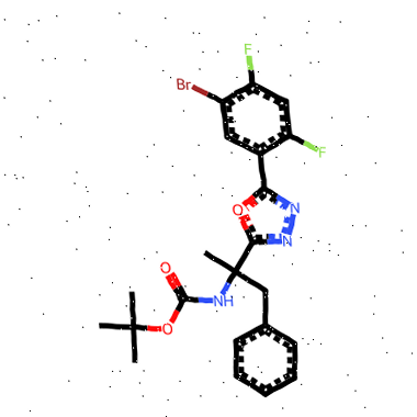 CC(C)(C)OC(=O)NC(C)(Cc1ccccc1)c1nnc(-c2cc(Br)c(F)cc2F)o1